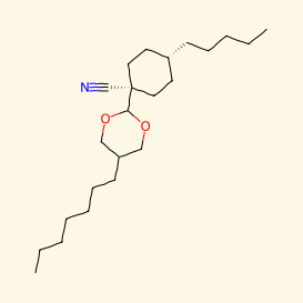 CCCCCCCC1COC([C@]2(C#N)CC[C@@H](CCCCC)CC2)OC1